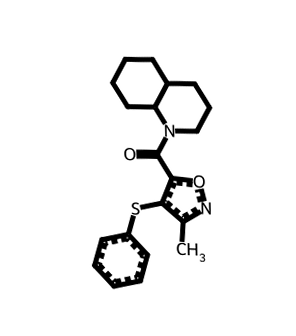 Cc1noc(C(=O)N2CCCC3CCCCC32)c1Sc1ccccc1